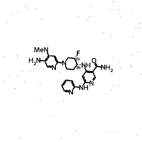 CNc1cc(N2CC[C@@H](Nc3cc(Nc4ccccn4)ncc3C(N)=O)[C@@H](F)C2)ncc1N